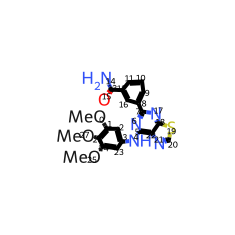 COc1cc(Nc2nc(-c3cccc(C(N)=O)c3)nc3scnc23)cc(OC)c1OC